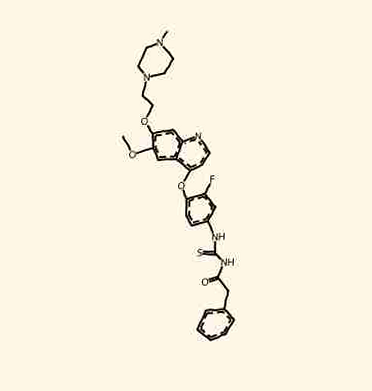 COc1cc2c(Oc3ccc(NC(=S)NC(=O)Cc4ccccc4)cc3F)ccnc2cc1OCCN1CCN(C)CC1